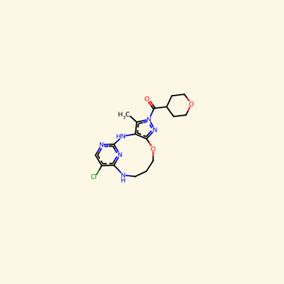 Cc1c2c(nn1C(=O)C1CCOCC1)OCCCNc1nc(ncc1Cl)N2